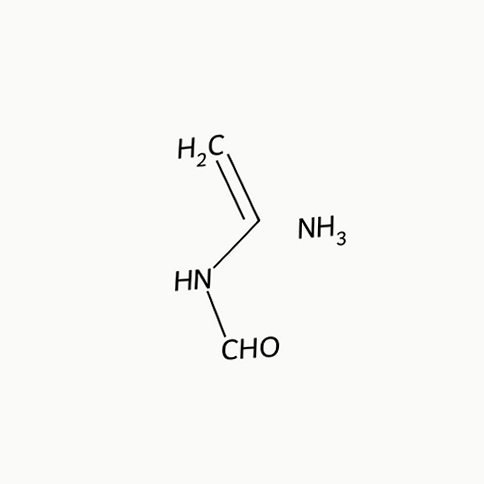 C=CNC=O.N